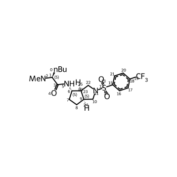 CCCC[C@H](NC)C(=O)N[C@H]1CC[C@@H]2CN(S(=O)(=O)c3ccc(C(F)(F)F)cc3)C[C@@H]21